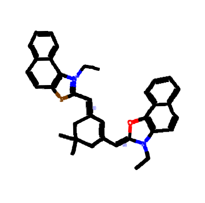 CCN1/C(=C/C2=CC(=C/c3sc4ccc5ccccc5c4[n+]3CC)/CC(C)(C)C2)Oc2c1ccc1ccccc21